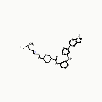 CN(C)C/C=C/CNC1CCC(C(=O)Nc2cccc(Nc3cc(-c4cnc5[nH]ccc5c4)ncn3)c2)CC1